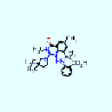 Cc1cc(C(C)Nc2ccccc2C(=O)O)c2nc(N3CCC(C)(C)C3)n(C)c(=O)c2c1